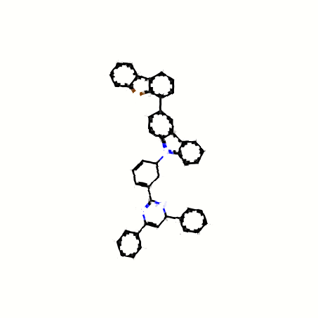 C1=CC(n2c3ccccc3c3cc(-c4cccc5c4sc4ccccc45)ccc32)CC(C2=NC(c3ccccc3)=CC(c3ccccc3)N2)=C1